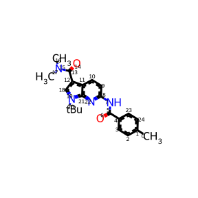 Cc1ccc(C(=O)Nc2ccc3c(C(=O)N(C)C)cn(C(C)(C)C)c3n2)cc1